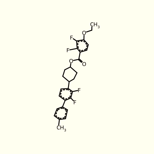 CCOc1ccc(C(=O)OC2CCC(c3ccc(-c4ccc(C)cc4)c(F)c3F)CC2)c(F)c1F